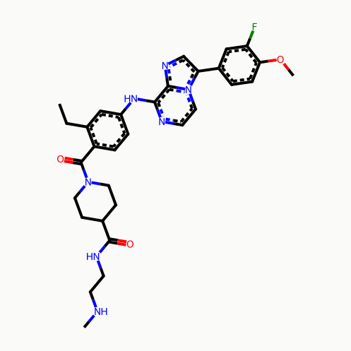 CCc1cc(Nc2nccn3c(-c4ccc(OC)c(F)c4)cnc23)ccc1C(=O)N1CCC(C(=O)NCCNC)CC1